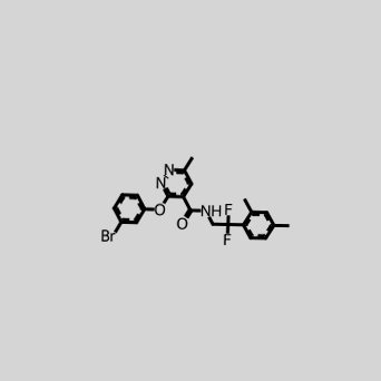 Cc1ccc(C(F)(F)CNC(=O)c2cc(C)nnc2Oc2cccc(Br)c2)c(C)c1